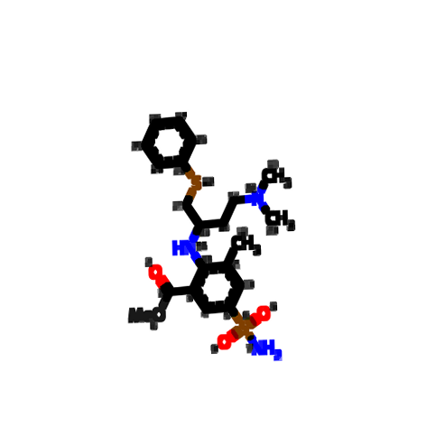 COC(=O)c1cc(S(N)(=O)=O)cc(C)c1NC(CCN(C)C)CSc1ccccc1